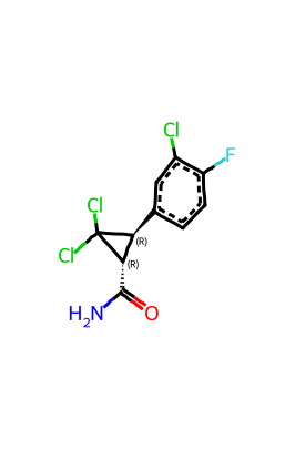 NC(=O)[C@H]1[C@H](c2ccc(F)c(Cl)c2)C1(Cl)Cl